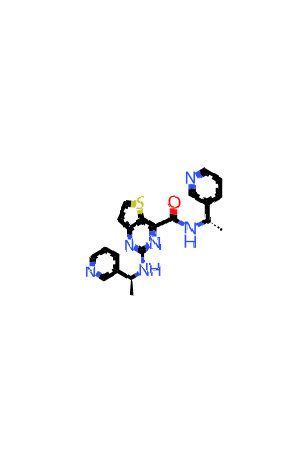 C[C@H](NC(=O)c1nc(N[C@@H](C)c2cccnc2)nc2ccsc12)c1cccnc1